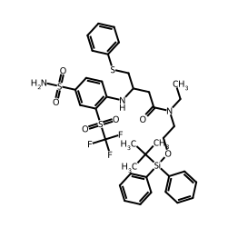 CCN(CCO[Si](c1ccccc1)(c1ccccc1)C(C)(C)C)C(=O)CC(CSc1ccccc1)Nc1ccc(S(N)(=O)=O)cc1S(=O)(=O)C(F)(F)F